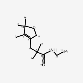 CC1=C(CC(C)(C)C(=O)NCC(C)C)CCC1(C)C